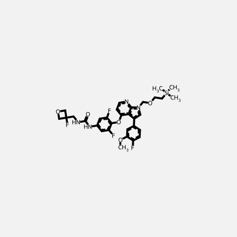 COc1cc(-c2cn(COCC[Si](C)(C)C)c3nccc(Oc4c(F)cc(NC(=O)NCC5(F)COC5)cc4F)c23)ccc1F